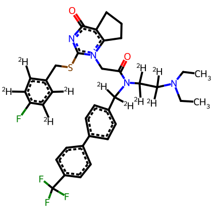 [2H]c1c([2H])c(CSc2nc(=O)c3c(n2CC(=O)N(C([2H])([2H])c2ccc(-c4ccc(C(F)(F)F)cc4)cc2)C([2H])([2H])C([2H])([2H])N(CC)CC)CCC3)c([2H])c([2H])c1F